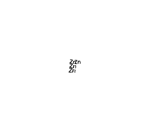 [Zn].[Zn].[Zn].[Zn]